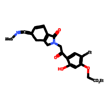 CCOC(=O)COc1cc(O)c(C(=O)CN2CC3=C(C=CC(=C=NSC)C3)C2=O)cc1CC